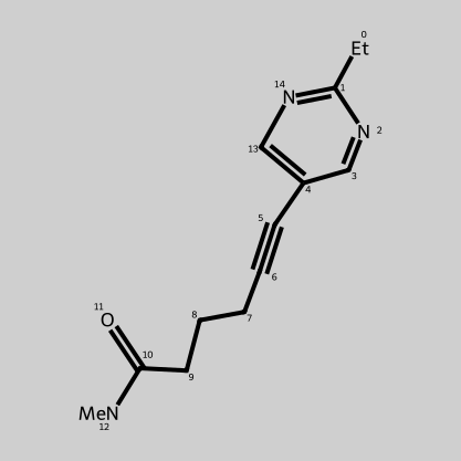 CCc1ncc(C#CCCCC(=O)NC)cn1